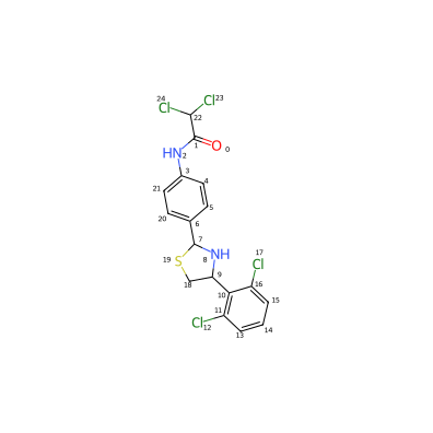 O=C(Nc1ccc(C2NC(c3c(Cl)cccc3Cl)CS2)cc1)C(Cl)Cl